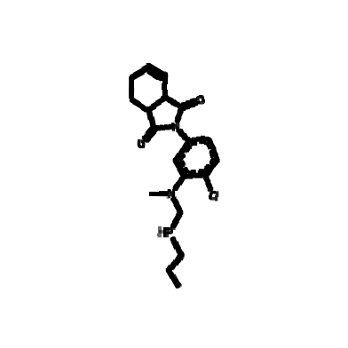 CCCPCN(C)c1cc(N2C(=O)C3C=CCCC3C2=O)ccc1Cl